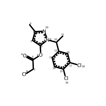 Cc1cc(OC(=O)CCl)n(C(C)c2ccc(Cl)c(Cl)c2)n1